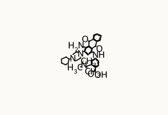 CC(c1cc(Nc2cc(N3CCN(C4CCCCC4)CC3)c(N)c3c2C(=O)c2ccccc2C3=O)ccc1C(=O)O)N(C)C